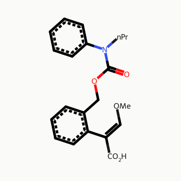 CCCN(C(=O)OCc1ccccc1/C(=C\OC)C(=O)O)c1ccccc1